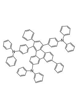 c1ccc(-c2ccc3c(c2)c2cc(N(c4ccccc4)c4ccccc4)ccc2c2c(-c4ccc(N(c5ccccc5)c5ccccc5)cc4)c(-c4ccccc4)cc(-c4ccc(N(c5ccccc5)c5ccccc5)cc4)c32)cc1